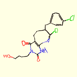 O=c1[nH]c2c(c(=O)n1CCCO)CCC(Cc1ccc(Cl)cc1)C(Cl)=N2